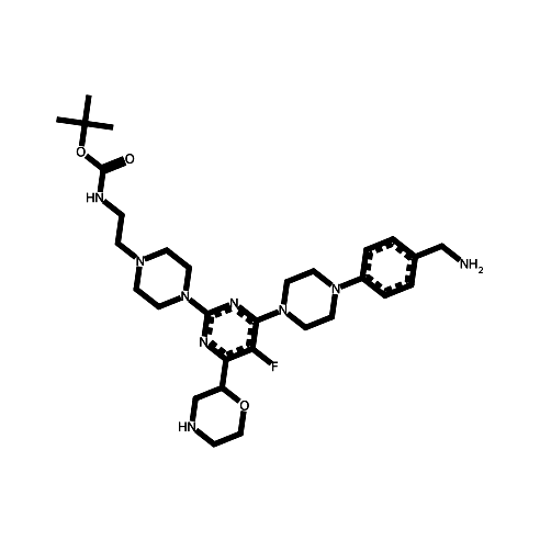 CC(C)(C)OC(=O)NCCN1CCN(c2nc(C3CNCCO3)c(F)c(N3CCN(c4ccc(CN)cc4)CC3)n2)CC1